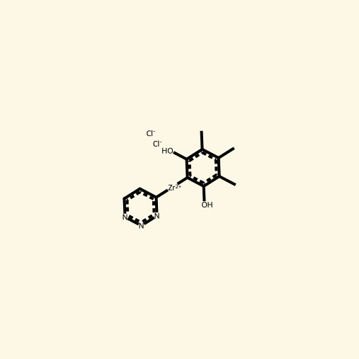 Cc1c(C)c(O)[c]([Zr+2][c]2ccnnn2)c(O)c1C.[Cl-].[Cl-]